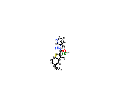 Cc1c(C(=O)N[C@H]2CN3CCC2CC3)sc2ccc([N+](=O)[O-])cc12.Cl